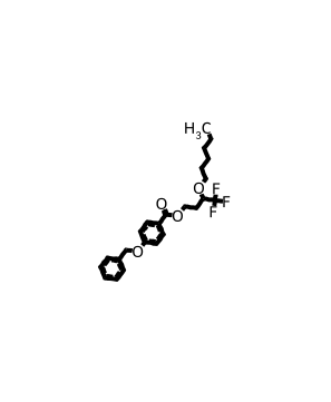 CCCCCCOC(CCOC(=O)c1ccc(OCc2ccccc2)cc1)C(F)(F)F